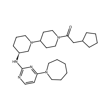 O=C(CC1CCCC1)N1CCC(N2CCC[C@H](Nc3nccc(N4CCCCCC4)n3)C2)CC1